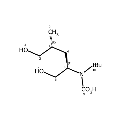 C[C@@H](CO)C[C@H](CO)N(C(=O)O)C(C)(C)C